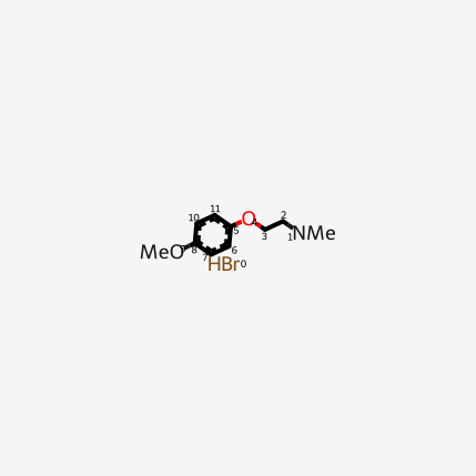 Br.CNCCOc1ccc(OC)cc1